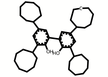 Oc1c(-c2cc(C3CCCCCCC3)cc(C3CCCCCCC3)c2O)cc(C2CCCCCCC2)cc1C1CCCCCCC1